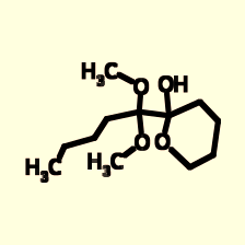 CCCCC(OC)(OC)C1(O)CCCCO1